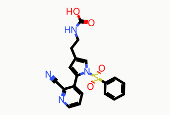 N#Cc1ncccc1-c1cc(CCNC(=O)O)cn1S(=O)(=O)c1ccccc1